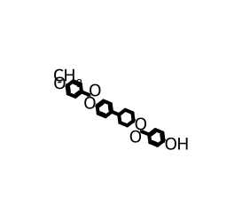 COc1ccc(C(=O)Oc2ccc(C3CCC(OC(=O)c4ccc(O)cc4)CC3)cc2)cc1